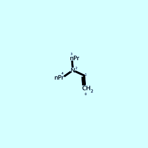 C=CN(CCC)CCC